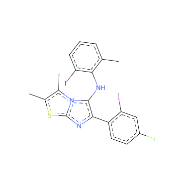 Cc1cccc(I)c1Nc1c(-c2ccc(F)cc2I)nc2sc(C)c(C)n12